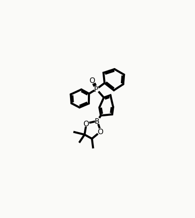 CC1OB(c2cccc(P(=O)(c3ccccc3)c3ccccc3)c2)OC1(C)C